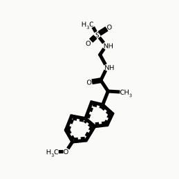 COc1ccc2cc(C(C)C(=O)NCNS(C)(=O)=O)ccc2c1